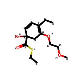 CCSC(=O)C1(Br)C=CC(CC)=C(OCCOC)C1